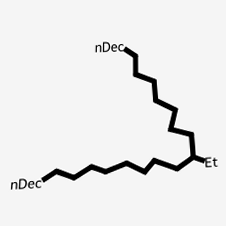 [CH2]CC(CCCCCCCCCCCCCCCCC)CCCCCCCCCCCCCCCCCC